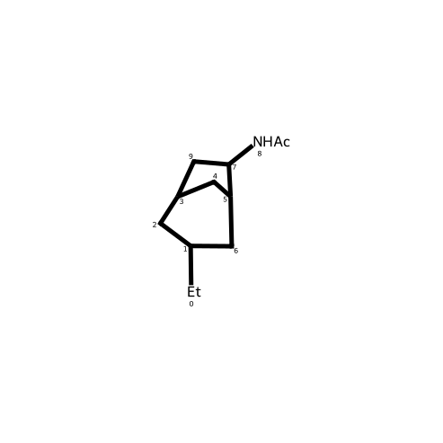 CCC1CC2CC(C1)C(NC(C)=O)C2